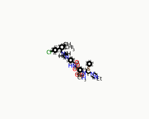 CCN1CCN(CCC(CSc2ccccc2)Nc2ccc(S(=O)(=O)NC(=O)c3ccc(N4C[C@@H]5C[C@H]4CN5CC4=C(c5ccc(Cl)cc5)CCC(C)(C)C4)cc3)cc2S(=O)(=O)C(F)(F)F)CC1